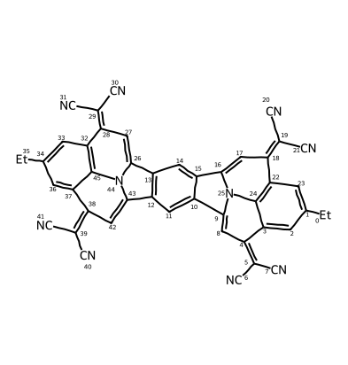 CCc1cc2c(=C(C#N)C#N)cc3c4cc5c(cc4c4cc(=C(C#N)C#N)c(c1)c2n34)c1cc(=C(C#N)C#N)c2cc(CC)cc3c(=C(C#N)C#N)cc5n1c32